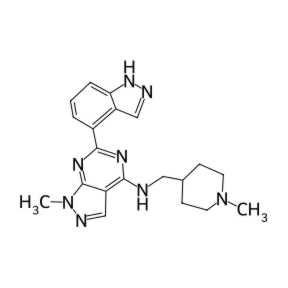 CN1CCC(CNc2nc(-c3cccc4[nH]ncc34)nc3c2cnn3C)CC1